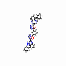 c1ccc(-c2cccc3nc(-c4nnc(-c5cccc(-c6nnc(-c7cnc8c(-c9ccccc9)cccc8n7)o6)c5)o4)cnc23)cc1